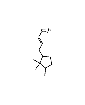 CC1CCC(C/C=C/C(=O)O)C1(C)C